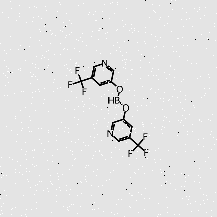 FC(F)(F)c1cncc(OBOc2cncc(C(F)(F)F)c2)c1